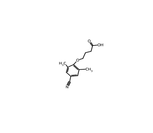 Cc1cc(C#N)cc(C)c1OCCCC(=O)O